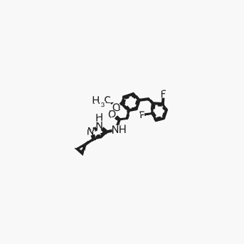 COc1ccc(Cc2c(F)cccc2F)cc1CC(=O)Nc1cc(C2CC2)n[nH]1